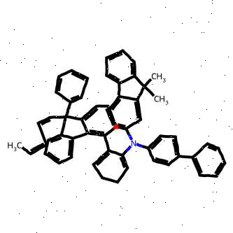 C/C=C\C=C/C1(c2ccccc2)c2ccccc2-c2c(C3=CCCC=C3N(c3ccc(-c4ccccc4)cc3)c3ccc4c(c3)C(C)(C)c3ccccc3-4)cccc21